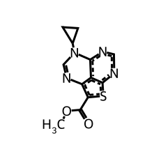 COC(=O)c1sc2ncnc3c2c1N=CN3C1CC1